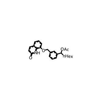 CCCCCCC(OC(C)=O)c1cccc(COc2cccc3ccc(=O)[nH]c23)c1